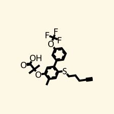 C#CCCCSc1cc(C)c(OC(C)(C)C(=O)O)cc1-c1cccc(OC(F)(F)F)c1